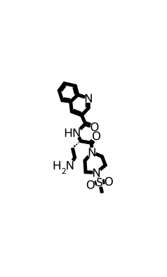 CS(=O)(=O)N1CCN(C(=O)[C@H](CCN)NC(=O)c2cnc3ccccc3c2)CC1